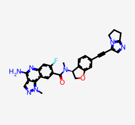 CN(C(=O)c1cc2c(cc1F)nc(N)c1cnn(C)c12)[C@@H]1COc2cc(C#Cc3cnc4n3CCC4)ccc21